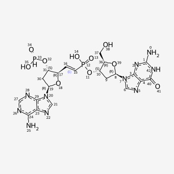 Nc1nc2c(ncn2[C@H]2C[C@H](OP(=O)(O)/C=C/[C@H]3O[C@@H](n4cnc5c(N)ncnc54)C[C@@H]3O[PH](=O)O)[C@@H](CO)O2)c(=O)[nH]1